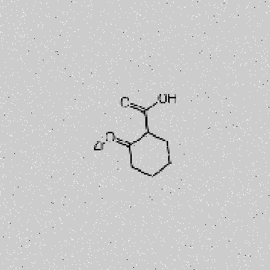 O=C(O)C1CCCCC1=O.[Zr]